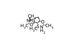 CSc1ccc(OC(C)N)c(SC)c1OC(C)N